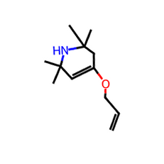 C=CCOC1=CC(C)(C)NC(C)(C)C1